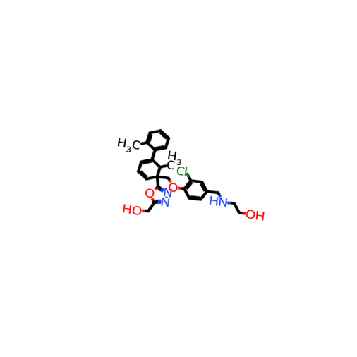 Cc1ccccc1C1=CC=CC(COc2ccc(CNCCO)cc2Cl)(c2nnc(CO)o2)C1C